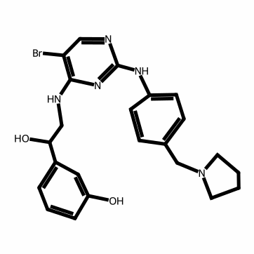 Oc1cccc(C(O)CNc2nc(Nc3ccc(CN4CCCC4)cc3)ncc2Br)c1